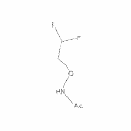 CC(=O)NOCC(F)F